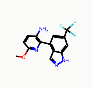 COc1ccc(N)c(-c2cc(C(F)(F)F)cc3[nH]ncc23)n1